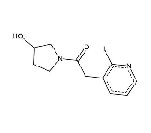 O=C(Cc1cccnc1I)N1CCC(O)C1